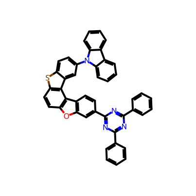 c1ccc(-c2nc(-c3ccccc3)nc(-c3ccc4c(c3)oc3ccc5sc6ccc(-n7c8ccccc8c8ccccc87)cc6c5c34)n2)cc1